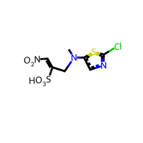 CN(CC(=C[N+](=O)[O-])S(=O)(=O)O)c1cnc(Cl)s1